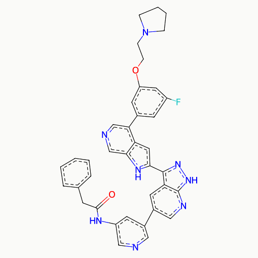 O=C(Cc1ccccc1)Nc1cncc(-c2cnc3[nH]nc(-c4cc5c(-c6cc(F)cc(OCCN7CCCC7)c6)cncc5[nH]4)c3c2)c1